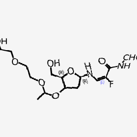 CC(OCCOCCO)OC1C[C@H](N/C=C(/F)C(=O)NC=O)O[C@@H]1CO